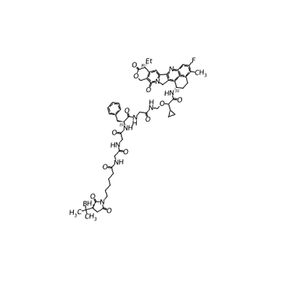 BC(C)(C)C1CC(=O)N(CCCCCC(=O)NCC(=O)NCC(=O)N[C@@H](Cc2ccccc2)C(=O)NCC(=O)NCOC(C(=O)N[C@H]2CCc3c(C)c(F)cc4nc5c(c2c34)Cn2c-5cc3c(c2=O)COC(=O)[C@@H]3CC)C2CC2)C1=O